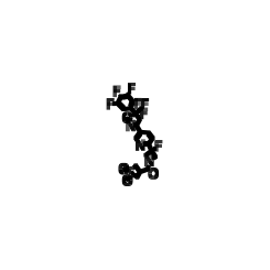 O=C(C1CS(=O)(=O)C1)N1CC(F)(c2ccc(C3=NOC(c4cc(F)c(F)c(F)c4)(C(F)(F)F)C3)cn2)C1